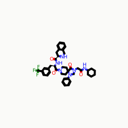 O=C(CN1CN(c2ccccc2)C2(CCN(C(=O)[C@@H](Cc3cccc(C(F)(F)F)c3)NC(=O)[C@H]3Cc4ccccc4CN3)CC2)C1=O)NC1CCCCC1